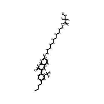 CCCCc1ccc(-c2cc3ccc(OCCCCCCCCCCCOC(=O)C(C)(C)CC)nc3oc2=O)c(C(F)(F)F)c1